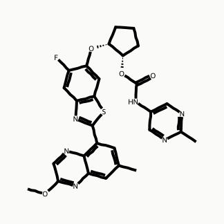 COc1cnc2c(-c3nc4cc(F)c(O[C@@H]5CCC[C@@H]5OC(=O)Nc5cnc(C)nc5)cc4s3)cc(C)cc2n1